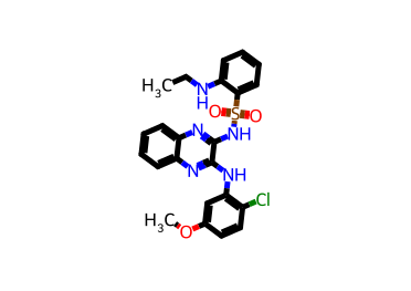 CCNc1ccccc1S(=O)(=O)Nc1nc2ccccc2nc1Nc1cc(OC)ccc1Cl